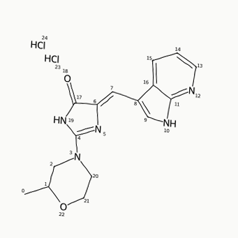 CC1CN(C2=N/C(=C\c3c[nH]c4ncccc34)C(=O)N2)CCO1.Cl.Cl